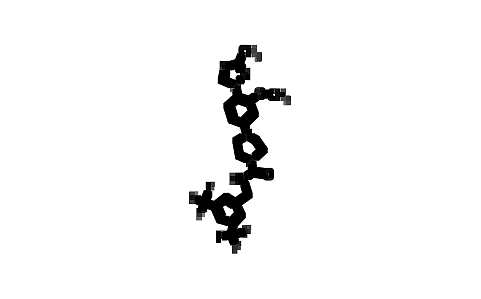 COc1cc(N2CCN(C(=O)NCc3cc(C(F)(F)F)cc(C(F)(F)F)c3)CC2)ccc1-n1cnc(C)n1